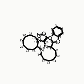 c1ccc2c(c1)OC(C1CCCCCCN(C3CCCCCCCC3)N1c1conn1)O2